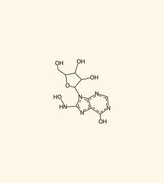 OCC1OC(n2c(NO)nc3c(O)ncnc32)C(O)C1O